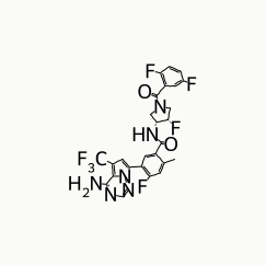 Cc1cc(F)c(-c2cc(C(F)(F)F)c3c(N)ncnn23)cc1C(=O)N[C@@H]1CN(C(=O)c2cc(F)ccc2F)C[C@@H]1F